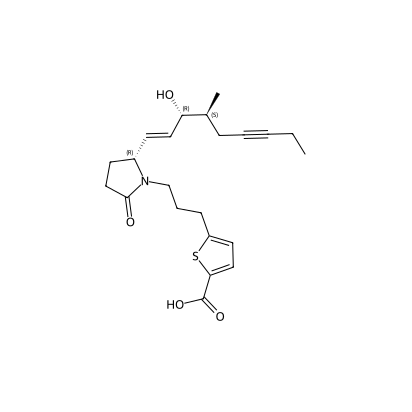 CCC#CC[C@H](C)[C@@H](O)C=C[C@H]1CCC(=O)N1CCCc1ccc(C(=O)O)s1